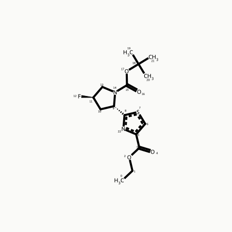 CCOC(=O)c1csc([C@@H]2C[C@@H](F)CN2C(=O)OC(C)(C)C)n1